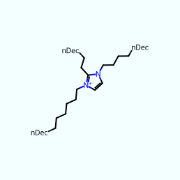 CCCCCCCCCCCCCCCC[n+]1ccn(CCCCCCCCCCCCCC)c1CCCCCCCCCCCC